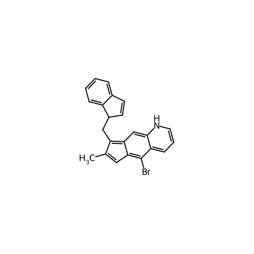 Cc1cc2c(Br)c3ccc[nH]c3cc2c1CC1C=Cc2ccccc21